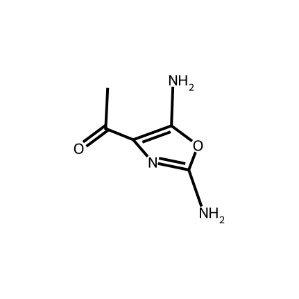 CC(=O)c1nc(N)oc1N